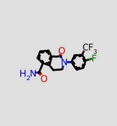 NC(=O)c1cccc2c1CCN(c1ccc(F)c(C(F)(F)F)c1)C2=O